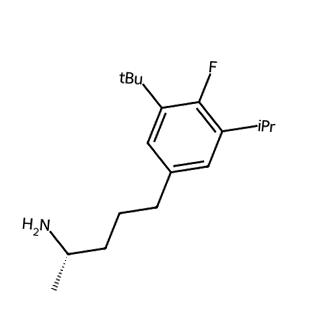 CC(C)c1cc(CCC[C@H](C)N)cc(C(C)(C)C)c1F